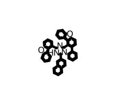 c1ccc(-c2ccc3oc4ccccc4c3c2C2=NC(c3cccc4oc5ccccc5c34)NC(c3ccc4ccccc4c3)=N2)cc1